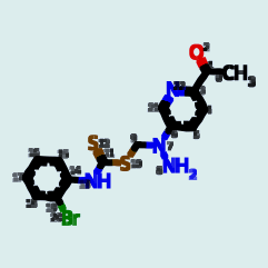 CC(=O)c1ccc(N(N)CSC(=S)Nc2ccccc2Br)cn1